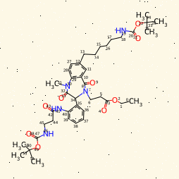 CCOC(=O)CCN1C(=O)c2cc(CCCCCCNC(=O)OC(C)(C)C)ccc2N(C)C(=O)C1c1ccccc1NC(=O)CCNC(=O)OC(C)(C)C